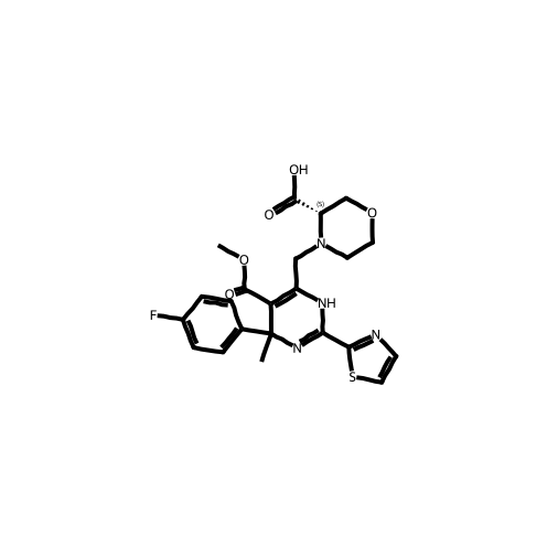 COC(=O)C1=C(CN2CCOC[C@H]2C(=O)O)NC(c2nccs2)=NC1(C)c1ccc(F)cc1